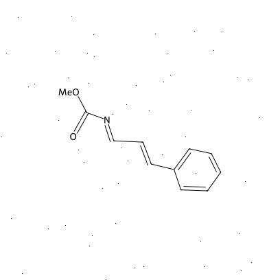 COC(=O)/N=C/C=C/c1ccccc1